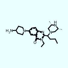 CCCC(c1nc2ccc(N3CCC(N)CC3)cc2c(=O)n1CC)N1C[C@@H](C)N[C@@H](C)C1